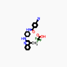 Cc1cc(N[C@H]2CC[C@@H](NC(=O)c3ccc(C#N)cc3)CC2)nc2ccccc12.O=C(O)C(F)(F)F